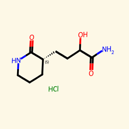 Cl.NC(=O)C(O)CC[C@@H]1CCCNC1=O